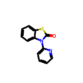 O=c1sc2ccccc2n1-c1ccccn1